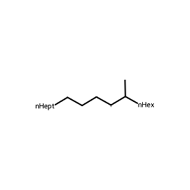 CCCCCCCCCC[CH]C(C)CCCCCC